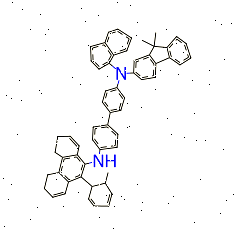 CC1C=CC=CC1c1c2c(c3c(c1Nc1ccc(-c4ccc(N(c5ccc6c(c5)C(C)(C)c5ccccc5-6)c5cccc6ccccc56)cc4)cc1)C=CCC3)CCC=C2